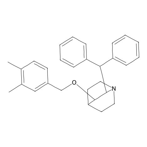 Cc1ccc(COC2C3CCN(CC3)C2C(c2ccccc2)c2ccccc2)cc1C